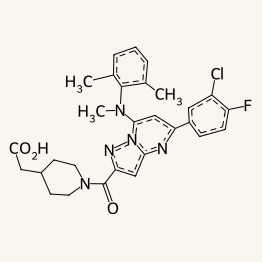 Cc1cccc(C)c1N(C)c1cc(-c2ccc(F)c(Cl)c2)nc2cc(C(=O)N3CCC(CC(=O)O)CC3)nn12